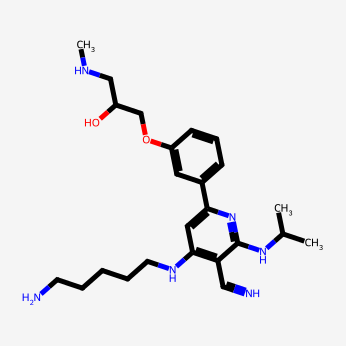 CNCC(O)COc1cccc(-c2cc(NCCCCCN)c(C=N)c(NC(C)C)n2)c1